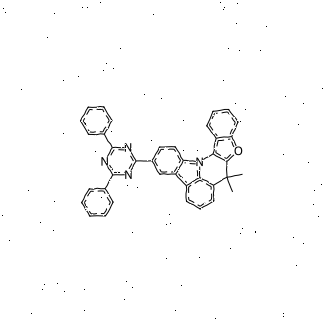 CC1(C)c2oc3ccccc3c2-n2c3ccc(-c4nc(-c5ccccc5)nc(-c5ccccc5)n4)cc3c3cccc1c32